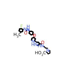 Cc1ccc(F)c(NC(=O)Nc2ccc(Oc3ccnc(-c4cc(C(=O)NCCCN5CCCC5C(=O)O)c[nH]4)c3)cc2)c1